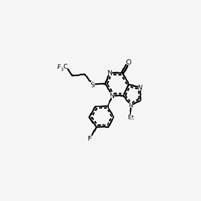 CCn1cnc2c(=O)nc(SCCC(F)(F)F)n(-c3ccc(F)cc3)c21